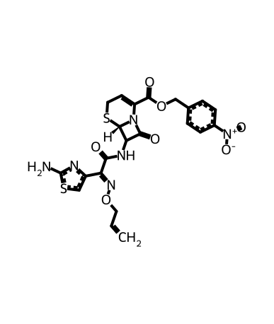 C=CCON=C(C(=O)NC1C(=O)N2C(C(=O)OCc3ccc([N+](=O)[O-])cc3)=CCS[C@@H]12)c1csc(N)n1